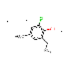 O=C(O)c1cc(Cl)c(O)c(C[N+](=O)[O-])c1